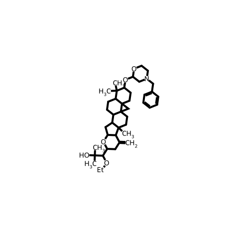 C=C1CC(C(OCC)C(C)(C)O)OC2CC3C4CCC5C(C)(C)C(OC6CN(Cc7ccccc7)CCO6)CCC56CC46CCC3(C)C12